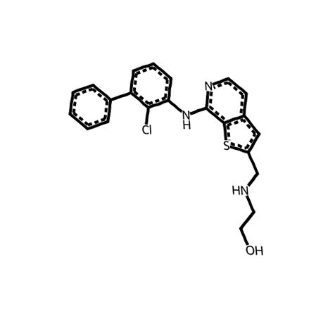 OCCNCc1cc2ccnc(Nc3cccc(-c4ccccc4)c3Cl)c2s1